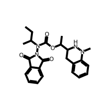 CCC(C)N(C(=O)OC(C)C1Cc2ccccc2N(C)N1)N1C(=O)c2ccccc2C1=O